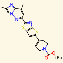 Cc1cn2nc(-c3nc4sc(C5=CCN(C(=O)OC(C)(C)C)CC5)cc4s3)cc(C)c2n1